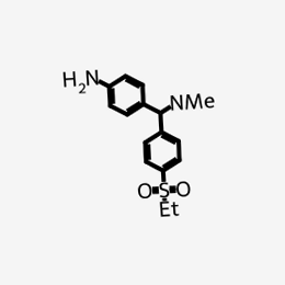 CCS(=O)(=O)c1ccc(C(NC)c2ccc(N)cc2)cc1